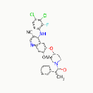 C=C(C(=O)N1CCC(Oc2cc3c(Nc4ccc(Cl)c(Cl)c4F)c(C#N)cnc3cc2OC)CC1)c1ccccc1